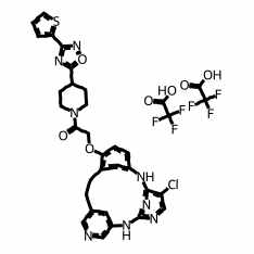 O=C(COc1ccc2cc1CCc1cncc(c1)Nc1ncc(Cl)c(n1)N2)N1CCC(c2nc(-c3cccs3)no2)CC1.O=C(O)C(F)(F)F.O=C(O)C(F)(F)F